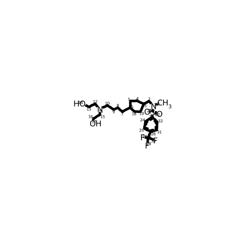 CN(CC1CCC(CCCCN(CCO)CCO)CC1)S(=O)(=O)c1ccc(C(F)(F)F)cc1